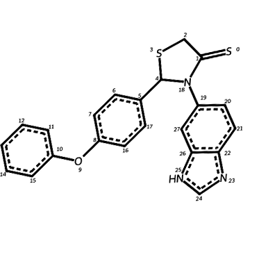 S=C1CSC(c2ccc(Oc3ccccc3)cc2)N1c1ccc2nc[nH]c2c1